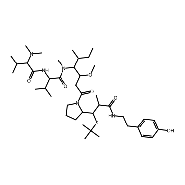 CCC(C)C(C(CC(=O)N1CCCC1C(SC(C)(C)C)C(C)C(=O)NCCc1ccc(O)cc1)OC)N(C)C(=O)C(NC(=O)C(C(C)C)N(C)C)C(C)C